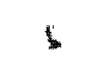 O=C(Nc1nccs1)C(c1cc(F)ccc1O)N1CC2=C(CC(c3ccc(N4CCN(CCO)CC4)cc3)C=C2)C1=O